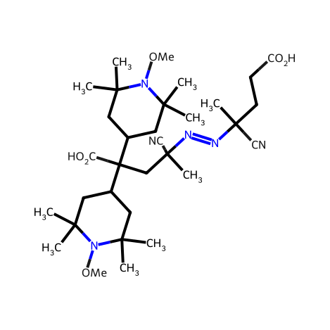 CON1C(C)(C)CC(C(CC(C)(C#N)/N=N/C(C)(C#N)CCC(=O)O)(C(=O)O)C2CC(C)(C)N(OC)C(C)(C)C2)CC1(C)C